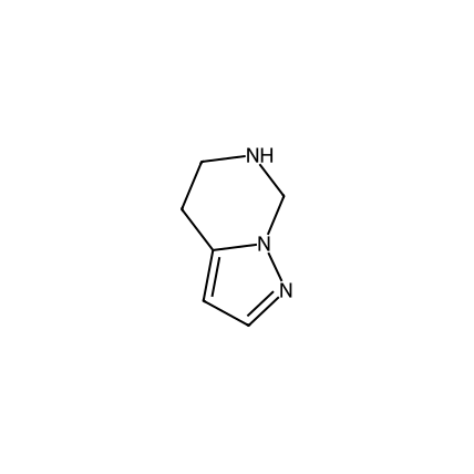 c1cc2n(n1)CNCC2